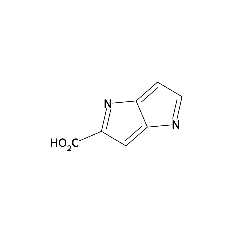 O=C(O)C1=NC2=CC=NC2=C1